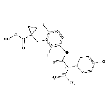 C[C@H]([C@H](C(=O)Nc1ccc(Cl)c(CC2(C(=O)OC(C)(C)C)CC2)c1F)C1C=CC(Cl)=CC1)C(F)(F)F